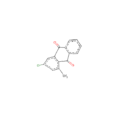 Cc1cc(Cl)cc2c1C(=O)c1ccccc1C2=O